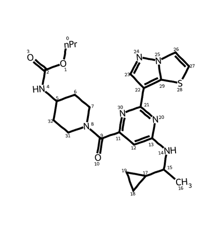 CCCOC(=O)NC1CCN(C(=O)c2cc(NC(C)C3CC3)nc(-c3cnn4ccsc34)n2)CC1